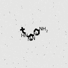 CC(C)(C)CCNc1cc(N2CCC(N)CC2)ncn1